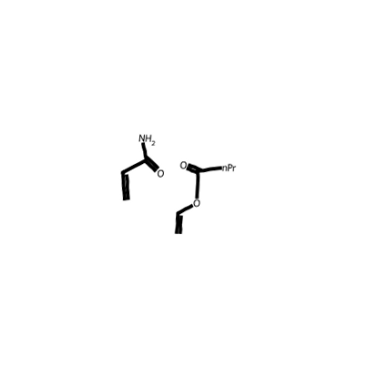 C=CC(N)=O.C=COC(=O)CCC